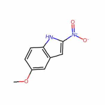 COc1ccc2[nH]c([N+](=O)[O-])cc2c1